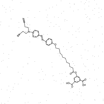 N#CCCN(CCC#N)c1ccc(N=Nc2ccc(OCCCCCCCCCCC(=O)Oc3cc(C(=O)O)cc(C(=O)O)c3)cc2)cc1